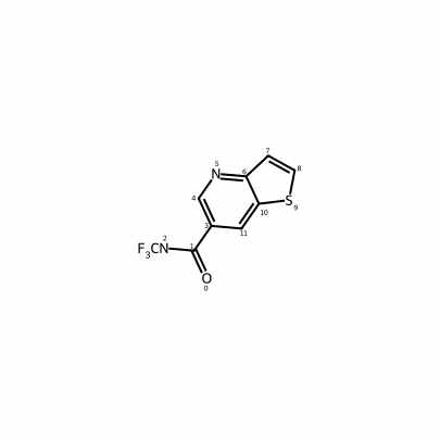 O=C(NC(F)(F)F)c1cnc2ccsc2c1